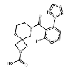 O=C(O)N1CC2(C1)CN(C(=O)c1c(F)cccc1-n1nccn1)CCO2